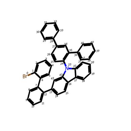 Brc1ccccc1-c1ccccc1-c1ccc2c3ccccc3n(-c3ccc(-c4ccccc4)cc3-c3ccccc3)c2c1